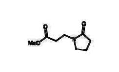 COC(=O)CCN1CCCC1=O